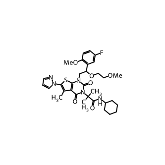 COCCOC(Cn1c(=O)n(C(C)(C)C(=O)NC2CCCCC2)c(=O)c2c(C)c(-n3cccn3)sc21)c1cc(F)ccc1OC